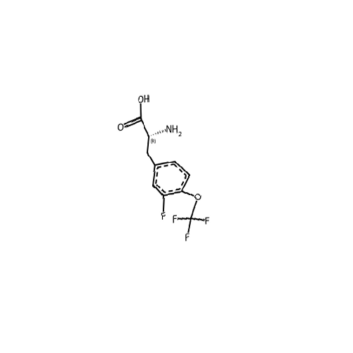 N[C@H](Cc1ccc(OC(F)(F)F)c(F)c1)C(=O)O